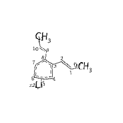 CC=Cc1ccccc1C=CC.[Li]